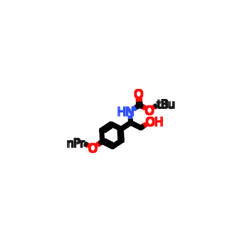 CCCOc1ccc(C(CO)NC(=O)OC(C)(C)C)cc1